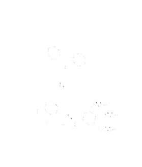 COc1cc(C(=O)N(C)CC(CCN2CCC(=C(c3ccccc3)c3ccccc3)CC2)c2ccc(Cl)c(Cl)c2)cc(OC)c1OC